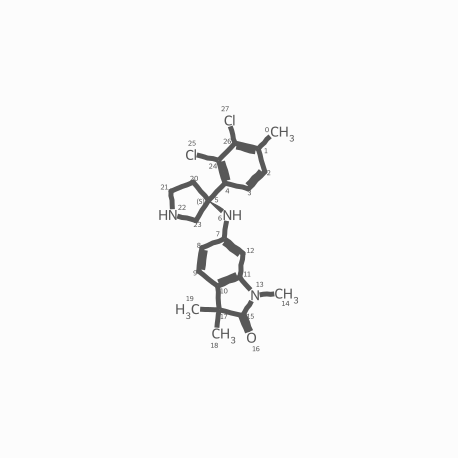 Cc1ccc([C@@]2(Nc3ccc4c(c3)N(C)C(=O)C4(C)C)CCNC2)c(Cl)c1Cl